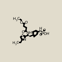 CCOC(=O)CCC(=O)N[C@@H](Cc1ccc(NS(=O)(=O)O)cc1)c1nc(CC)cs1